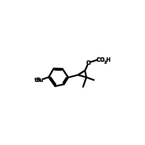 CC(C)(C)c1ccc(C2C(OC(=O)O)C2(C)C)cc1